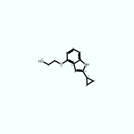 OCCOc1c[c]cc2[nH]c(C3CC3)cc12